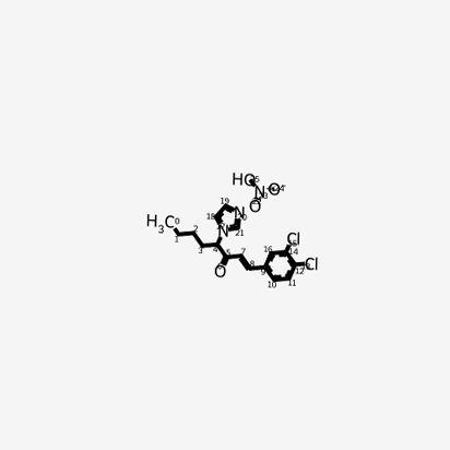 CCCCC(C(=O)C=Cc1ccc(Cl)c(Cl)c1)n1ccnc1.O=[N+]([O-])O